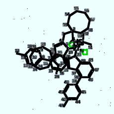 CCC1(CC2=Cc3c(-c4ccc(C)cc4)cccc3[CH]2[Zr]([Cl])([Cl])([CH]2C(CC3(CC)CCCCCCC3)=Cc3c(-c4ccc(C)cc4)cccc32)[SiH](C)C)CCCCCCC1